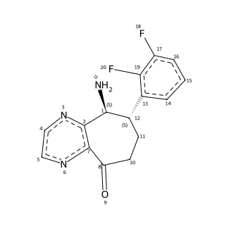 N[C@@H]1c2nccnc2C(=O)CC[C@H]1c1cccc(F)c1F